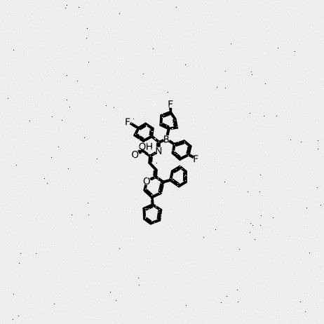 O=C(O)C(=CC=C1OC=C(c2ccccc2)C=C1c1ccccc1)N=C(B(c1ccc(F)cc1)c1ccc(F)cc1)c1ccc(F)cc1